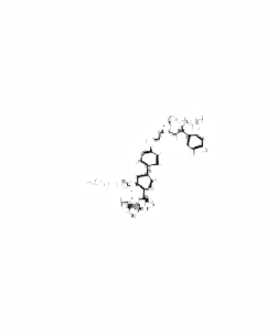 CCCCCOc1cc(-c2ccc(OCCN(C[C@@H](O)c3ccccc3)C(=O)O)cc2)ccc1C(=O)NS(C)(=O)=O